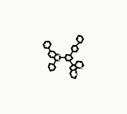 c1ccc(-c2ccc(-c3cc(-c4nc(-c5ccccc5)c5ccc(-c6ccccc6)cc5n4)cc(-c4cc5cccnc5c5ncccc45)c3)cc2)cc1